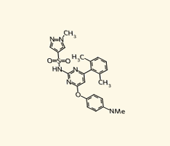 CNc1ccc(Oc2cc(-c3c(C)cccc3C)nc(NS(=O)(=O)c3cnn(C)c3)n2)cc1